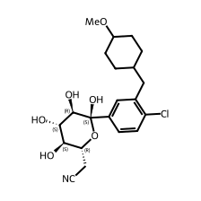 COC1CCC(Cc2cc([C@]3(O)O[C@H](CC#N)[C@@H](O)[C@H](O)[C@H]3O)ccc2Cl)CC1